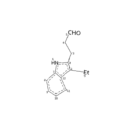 CCc1c(CCC=O)[nH]c2ccccc12